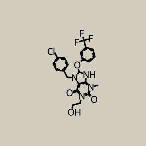 Cn1c2c(c(=O)n(CCO)c1=O)N(Cc1ccc(Cl)cc1)C(Oc1cccc(C(F)(F)F)c1)N2